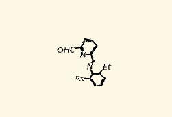 CCc1cccc(CC)c1N=Cc1cccc(C=O)n1